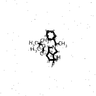 C[C@H](c1ccccc1)N1C[C@H]2C(F)(F)CC[C@@]2(C(=O)OC(C)(C)C)C1